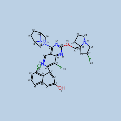 Oc1cc(-c2ncc3c(N4CC5CCC(C4)N5)nc(OC[C@@]45CCCN4CC(F)C5)nc3c2F)c2c(Cl)cccc2c1